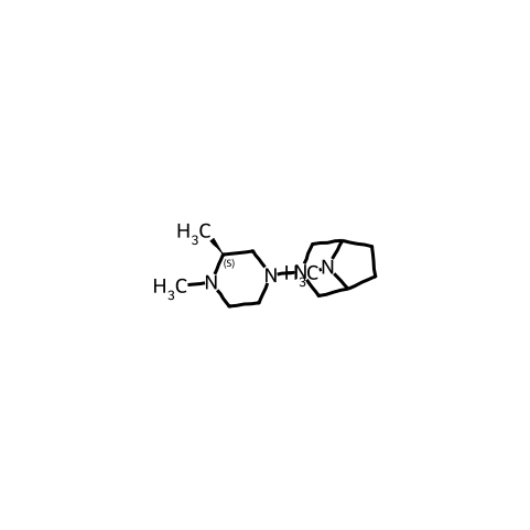 C[C@H]1CN(N2CC3CCC(C2)N3C)CCN1C